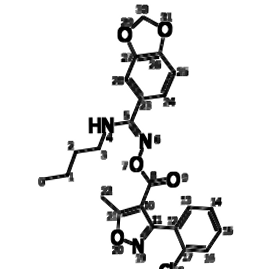 CCCCN/C(=N\OC(=O)c1c(-c2ccccc2Cl)noc1C)c1ccc2c(c1)OCO2